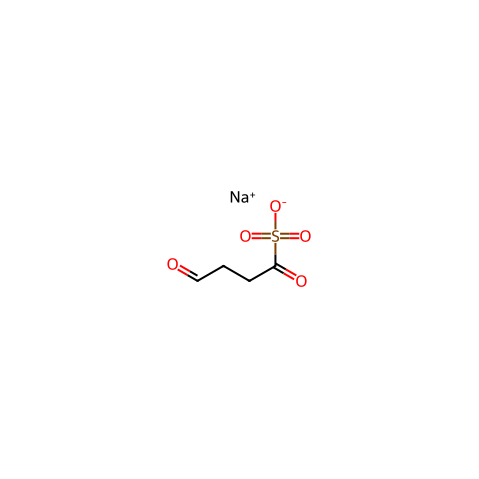 O=CCCC(=O)S(=O)(=O)[O-].[Na+]